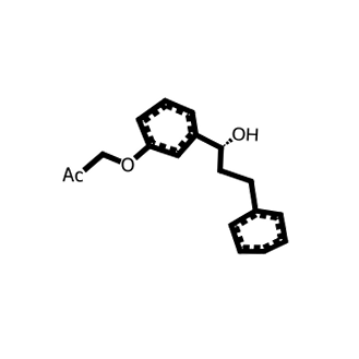 CC(=O)COc1cccc([C@H](O)CCc2ccccc2)c1